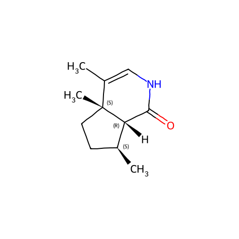 CC1=CNC(=O)[C@@H]2[C@@H](C)CC[C@]12C